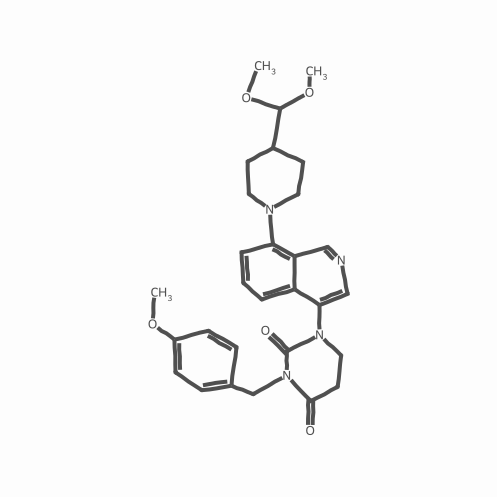 COc1ccc(CN2C(=O)CCN(c3cncc4c(N5CCC(C(OC)OC)CC5)cccc34)C2=O)cc1